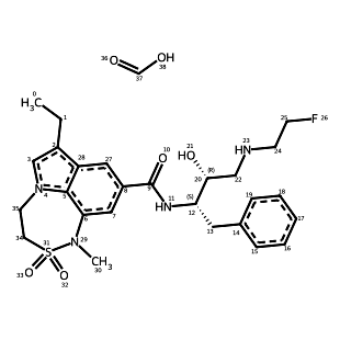 CCc1cn2c3c(cc(C(=O)N[C@@H](Cc4ccccc4)[C@H](O)CNCCF)cc13)N(C)S(=O)(=O)CC2.O=CO